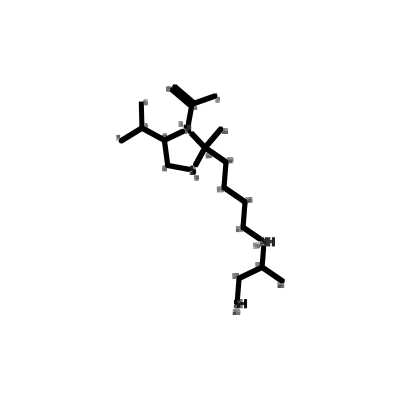 C=C(C)N1C(C(C)C)CSC1(C)CCCCNC(C)CS